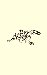 CC(C)c1nc(CN(C)C(=O)N(C)[C@H](C(=O)N[C@@H](Cc2ccccc2)C[C@H](O)[C@H](Cc2ccccc2)NC(=O)OCc2cncs2)C(C)C)cs1